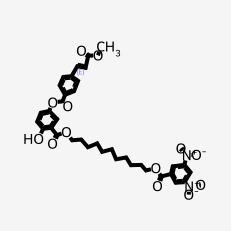 COC(=O)/C=C/c1ccc(C(=O)Oc2ccc(O)c(C(=O)OCCCCCCCCCCCOC(=O)c3cc([N+](=O)[O-])cc([N+](=O)[O-])c3)c2)cc1